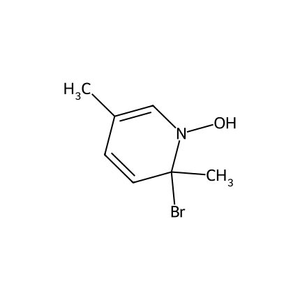 CC1=CN(O)C(C)(Br)C=C1